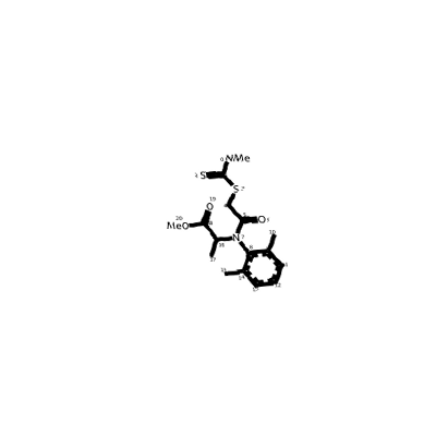 CNC(=S)SCC(=O)N(c1c(C)cccc1C)C(C)C(=O)OC